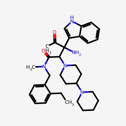 CCc1ccccc1CN(C)C(=O)C(N1CCC(N2CCCCC2)CC1)C(N)(C(C)=O)c1c[nH]c2ccccc12